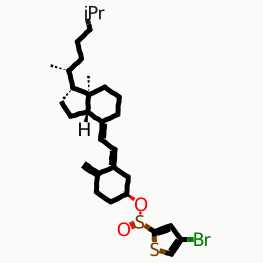 C=C1CC[C@H](O[S@@](=O)c2cc(Br)cs2)C/C1=C/C=C1\CCC[C@]2(C)[C@@H]([C@H](C)CCCC(C)C)CC[C@@H]12